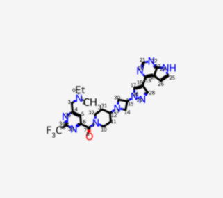 CCN(C)Cc1cc(C(=O)N2CCC(N3C[C](n4cc(-c5ncnc6[nH]ccc56)cn4)C3)CC2)nc(C(F)(F)F)n1